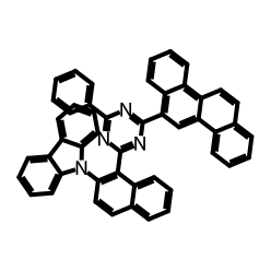 c1ccc(-c2nc(-c3c(-n4c5ccccc5c5ccccc54)ccc4ccccc34)nc(-c3cc4c5ccccc5ccc4c4ccccc34)n2)cc1